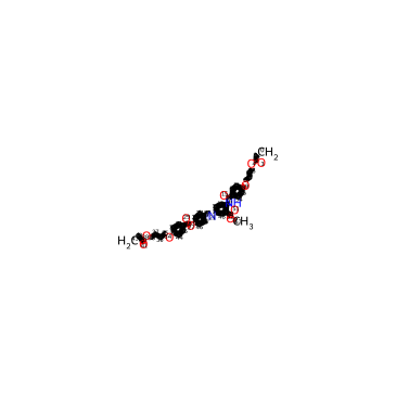 C=CC(=O)OCCCCOc1ccc(C(=O)Nc2ccc(/N=C/c3ccc(OC(=O)c4ccc(OCCCCOC(=O)C=C)cc4)cc3)cc2C(=O)OC)cc1